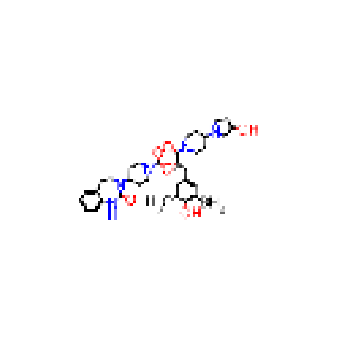 Bc1cc(C[C@@H](OC(=O)N2CCC(N3CCc4ccccc4NC3=O)CC2)C(=O)N2CCC(N3CC[C@@H](O)C3)CC2)cc(C)c1O